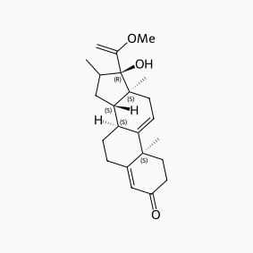 C=C(OC)[C@@]1(O)C(C)C[C@H]2[C@@H]3CCC4=CC(=O)CC[C@]4(C)C3=CC[C@@]21C